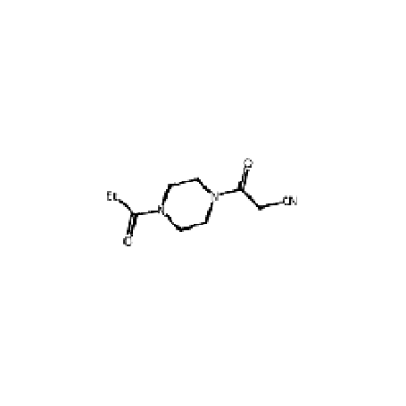 CCC(=O)N1CCN(C(=O)CC#N)CC1